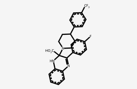 O=C(O)C1(N2CCC(c3ccc(C(F)(F)F)cc3)CC2)Nc2ccccc2N=C1c1ccc(F)cc1